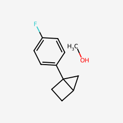 CO.Fc1ccc(C23CCC2C3)cc1